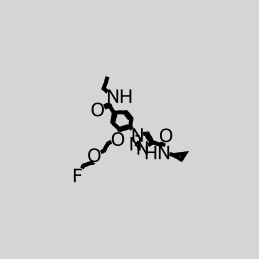 CCNC(=O)c1ccc(-n2cc(C(=O)NC3CC3)nn2)c(OCCOCCF)c1